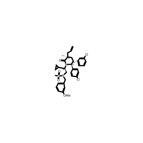 C=CC[C@@]1(C)C[C@H](c2cccc(Cl)c2)[C@@H](c2ccc(Cl)cc2)N([C@@H](CN(Cc2cccc(OC)c2)S(C)(=O)=O)C2CC2)C1=O